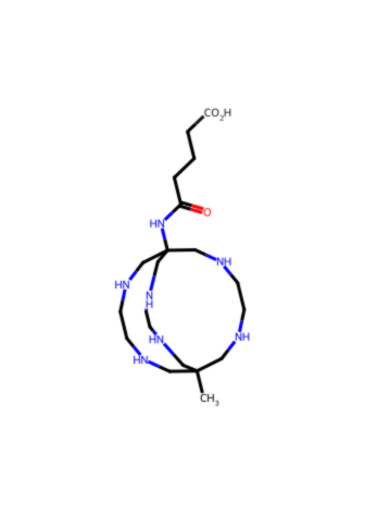 CC12CNCCNCC(NC(=O)CCCC(=O)O)(CNCCNC1)CNCCNC2